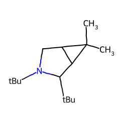 CC(C)(C)C1C2C(CN1C(C)(C)C)C2(C)C